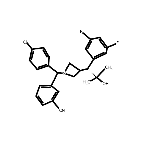 CC(C)(O)[C@@H](c1cc(F)cc(F)c1)C1CN(C(c2ccc(Cl)cc2)c2cccc(C#N)c2)C1